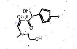 CCOC(=O)/C(=C/N(C)CCO)C(=O)N(C=O)c1ccc(F)cc1